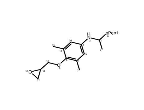 CCCCCC(C)Nc1cc(C)c(OCC2CO2)c(C)c1